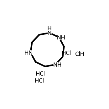 C1CNCCNNCCN1.Cl.Cl.Cl.Cl